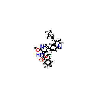 COc1ncc(-c2ccc3nccc(C#C[Si](C)(C)C)c3c2)cc1NS(=O)(=O)c1ccccc1F